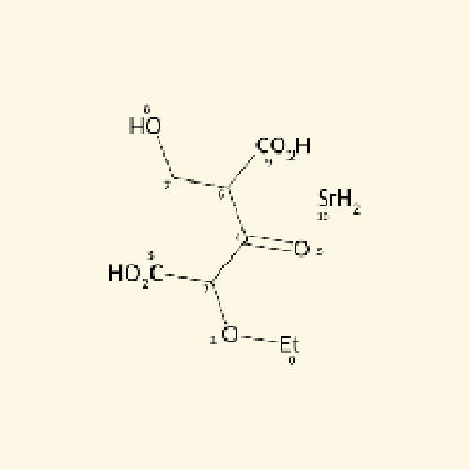 CCOC(C(=O)O)C(=O)C(CO)C(=O)O.[SrH2]